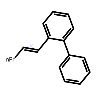 CCC/C=C/c1ccccc1-c1ccccc1